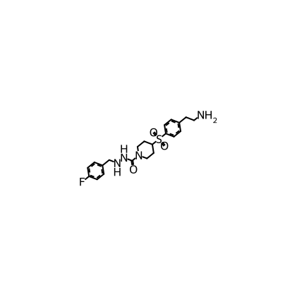 NCCc1ccc(S(=O)(=O)C2CCN(C(=O)NNCc3ccc(F)cc3)CC2)cc1